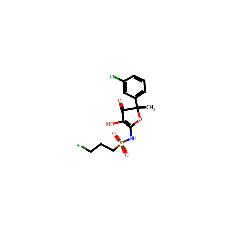 CC1(c2cccc(Cl)c2)OC(NS(=O)(=O)CCCBr)=C(O)C1=O